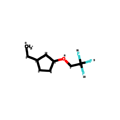 [CH2]CC1C[CH]C(OCC(F)(F)F)C1